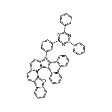 c1ccc(-c2nc(-c3ccccc3)nc(-c3cccc(-n4c5ccc6ccc7c8ccccc8oc7c6c5c5c6ccccc6c6ccccc6c54)c3)n2)cc1